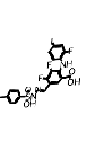 Cc1ccc(S(=O)(=O)N/N=C/c2cc(C(=O)O)c(Nc3ccc(I)cc3F)c(F)c2F)cc1